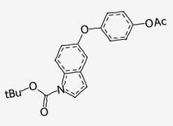 CC(=O)Oc1ccc(Oc2ccc3c(ccn3C(=O)OC(C)(C)C)c2)cc1